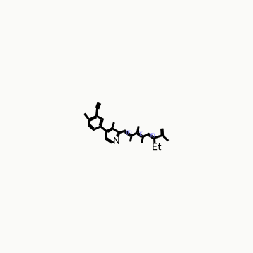 C#Cc1cc(-c2ccnc(/C=C(C)/C(C)=C(C)/C=C(\CC)C(=C)C)c2C)ccc1C